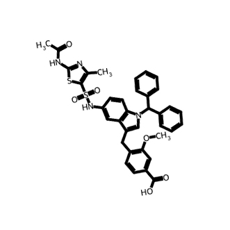 COc1cc(C(=O)O)ccc1Cc1cn(C(c2ccccc2)c2ccccc2)c2ccc(NS(=O)(=O)c3sc(NC(C)=O)nc3C)cc12